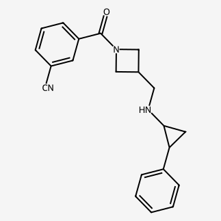 N#Cc1cccc(C(=O)N2CC(CNC3CC3c3ccccc3)C2)c1